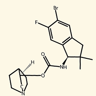 CC1(C)Cc2cc(Br)c(F)cc2[C@@H]1NC(=O)O[C@H]1CN2CCC1CC2